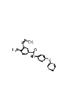 C/N=N\c1cc(C(=O)Nc2ccc(Oc3ccccc3)cc2)ccc1N